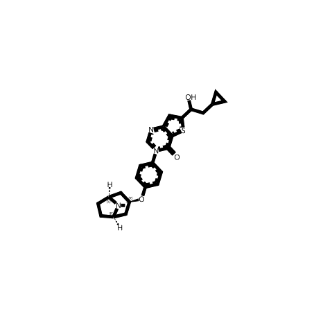 CN1[C@@H]2CC[C@H]1C[C@@H](Oc1ccc(-n3cnc4cc(C(O)CC5CC5)sc4c3=O)cc1)C2